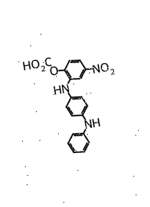 O=C(O)Oc1ccc([N+](=O)[O-])cc1Nc1ccc(Nc2ccccc2)cc1